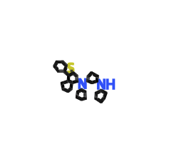 c1ccc(Nc2cccc(N(c3ccccc3)c3cc4sc5ccccc5c4c4ccccc34)c2)cc1